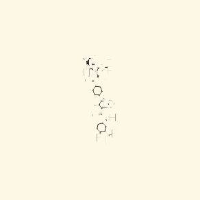 Cc1c(C(=O)Nc2ccc(F)c(C(F)F)c2)c2n(c1-c1ccc(C(=O)C(=O)NC3(c4nncs4)CC(F)(F)C3)cc1)CCC2